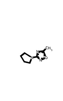 Cc1nc(N2[CH]CCC2)no1